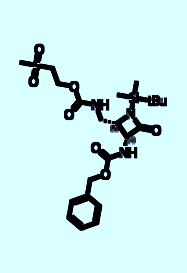 CC(C)(C)[Si](C)(C)N1C(=O)[C@H](NC(=O)OCc2ccccc2)[C@@H]1CNC(=O)OCCS(C)(=O)=O